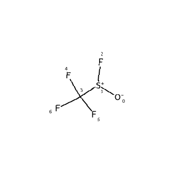 [O-][S+](F)C(F)(F)F